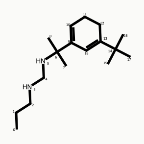 CCCNCNC(C)(C)C1=CCCC(C(C)(C)C)=C1